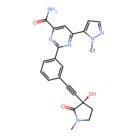 CCn1nccc1-c1cc(C(N)=O)nc(-c2cccc(C#C[C@]3(O)CCN(C)C3=O)c2)n1